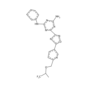 CC(OCc1ccc(-c2nc(-c3nc(N)nc(Nc4ccccc4)n3)no2)cn1)C(F)(F)F